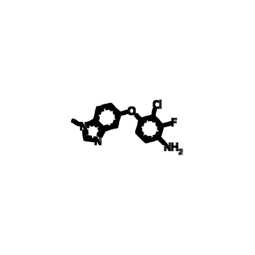 Cn1cnc2cc(Oc3ccc(N)c(F)c3Cl)ccc21